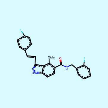 COc1c(C(=O)NCc2ccccc2F)ccc2[nH]nc(C=Cc3ccc(F)cc3)c12